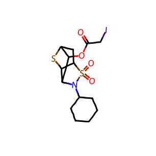 O=C(CI)OC1C2CC3C(S2)C1N(C1CCCCC1)S3(=O)=O